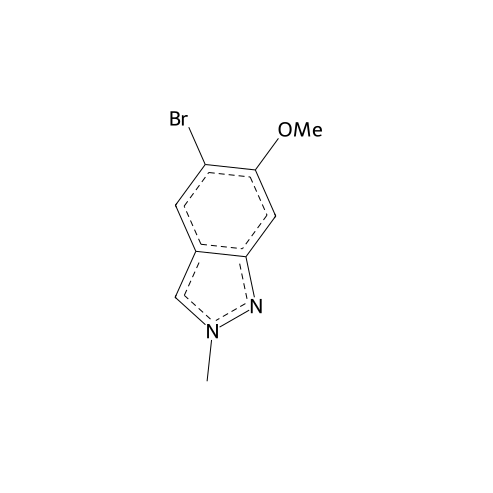 COc1cc2nn(C)cc2cc1Br